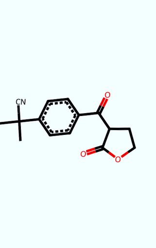 CC(C)(C#N)c1ccc(C(=O)C2CCOC2=O)cc1